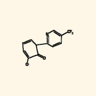 [O]C1=CC=CC(c2ccc(C(F)(F)F)cn2)C1=O